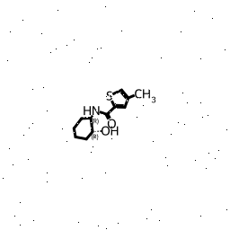 Cc1csc(C(=O)N[C@@H]2CCCC[C@H]2O)c1